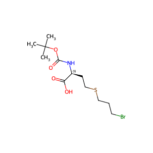 CC(C)(C)OC(=O)N[C@@H](CCSCCCBr)C(=O)O